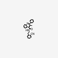 Cc1c(-c2ccccc2)nc2ccccc2c1C(=O)NCCc1ccccc1C#N